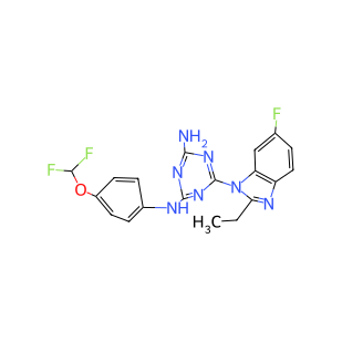 CCc1nc2ccc(F)cc2n1-c1nc(N)nc(Nc2ccc(OC(F)F)cc2)n1